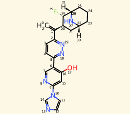 C=C(c1ccc(-c2cnc(-n3ccnc3)cc2O)nn1)[C@@H]1C[C@H]2CCC[C@H](N2)[C@H]1F